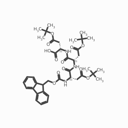 CC(C)(C)OC(=O)C[C@H](NC(=O)[C@H](CC(=O)OC(C)(C)C)NC(=O)[C@H](CC(=O)OC(C)(C)C)NC(=O)OCC1c2ccccc2-c2ccccc21)C(=O)O